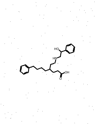 O=C(O)CCC(CCCCc1ccccc1)CCNCC(O)c1ccccc1